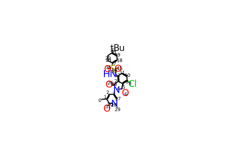 Cc1cc(N2C(=O)c3c(Cl)ccc(NS(=O)(=O)C4=CC=C(C(C)(C)C)CC4)c3C2=O)cn(C)c1=O